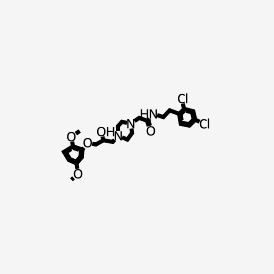 COc1ccc(OC)c(OCC(O)CN2CCN(CC(=O)NCCc3ccc(Cl)cc3Cl)CC2)c1